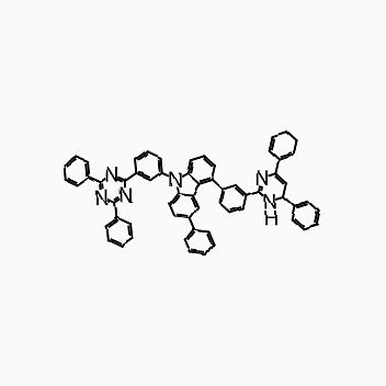 C1=CC(C2=CC(c3ccccc3)NC(c3cccc(-c4cccc5c4c4cc(-c6ccccc6)ccc4n5-c4cccc(-c5nc(-c6ccccc6)nc(-c6ccccc6)n5)c4)c3)=N2)=CCC1